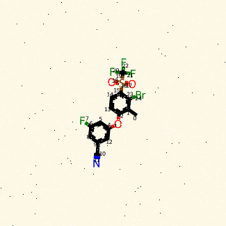 Cc1c(Oc2cc(F)cc(C#N)c2)ccc(S(=O)(=O)C(F)(F)F)c1Br